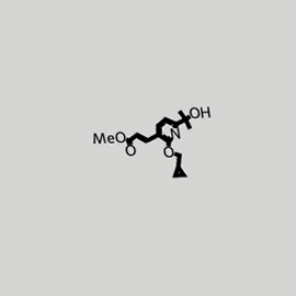 COC(=O)/C=C/c1ccc(C(C)(C)O)nc1OCC1CC1